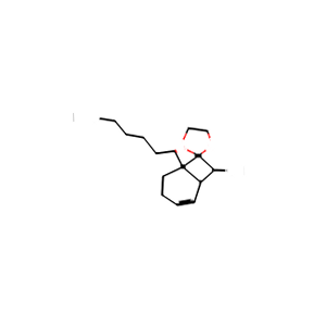 CCCCCCC12CCC=CC1C(C)C21OCCO1